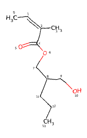 CC=C(C)C(=O)OCC(CO)CCC